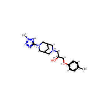 CC(C)n1nnc(N2CC3CC(CN(CC(O)COc4ccc(C#N)cc4)C3)C2)n1